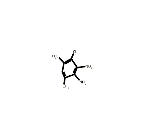 Cc1cc(C)c(Cl)c([N+](=O)[O-])c1N